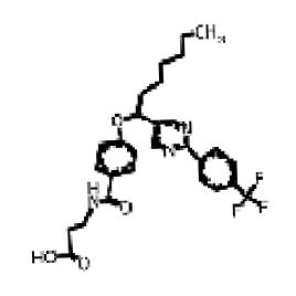 CCCCCCC(Oc1ccc(C(=O)NCCC(=O)O)cc1)c1cnc(-c2ccc(C(F)(F)F)cc2)nc1